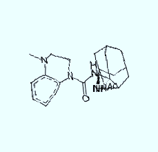 CC(=O)N[C@]12CC3CC(C1)[C@H](NC(=O)N1CCN(C)c4ccccc41)C(C3)C2